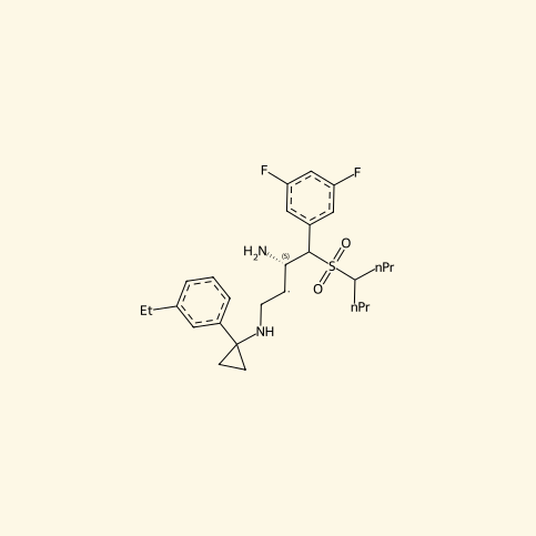 CCCC(CCC)S(=O)(=O)C(c1cc(F)cc(F)c1)[C@@H](N)[CH]CNC1(c2cccc(CC)c2)CC1